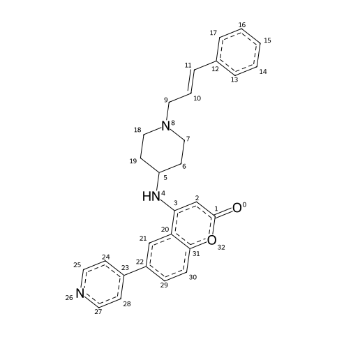 O=c1cc(NC2CCN(CC=Cc3ccccc3)CC2)c2cc(-c3ccncc3)ccc2o1